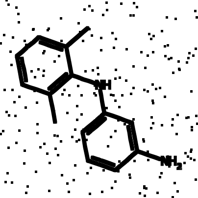 Cc1cccc(C)c1Nc1cccc(N)c1